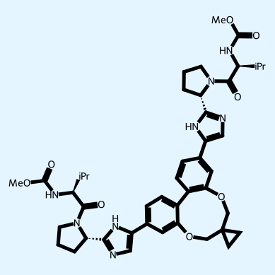 COC(=O)N[C@H](C(=O)N1CCC[C@H]1c1ncc(-c2ccc3c(c2)OCC2(CC2)COc2cc(-c4cnc([C@@H]5CCCN5C(=O)[C@@H](NC(=O)OC)C(C)C)[nH]4)ccc2-3)[nH]1)C(C)C